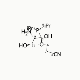 CC(C)P(C(C)C)[C@@](O)(OCCC#N)[C@@H](N)CO